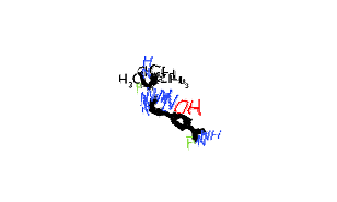 CC1(C)C[C@H](n2nnc3cc(-c4ccc(-c5c[nH]nc5F)cc4O)nnc32)[C@H](F)C(C)(C)N1